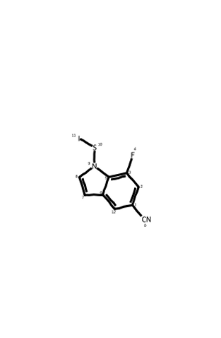 N#Cc1cc(F)c2c(ccn2SI)c1